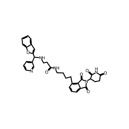 O=C(CCNC(c1cccnc1)c1cc2ccccc2o1)NCCCCc1cccc2c1C(=O)N(C1CCC(=O)NC1=O)C2=O